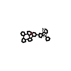 c1ccc(-n2c3ccc(-c4cccc(-c5cccc6c5-c5ccccc5-c5ccccc5-c5ccccc5-6)c4)cc3c3ncccc32)cc1